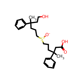 CC(CCO)(CCC[S+]([O-])CCCC(C)(CC(=O)O)c1ccccc1)c1ccccc1